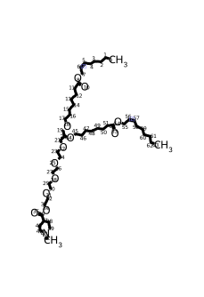 CCCCC/C=C\COC(=O)CCCCCCCOCC(COCCOCCOCCOCCOC(=O)C1CCN(C)CC1)OCCCCCCCC(=O)OC/C=C\CCCCCC